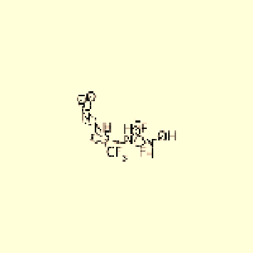 O=C1OCC(CN2CCC(Nc3cccc4c(CC(F)(F)F)c(C#CCNc5cc(F)c(NCCO)cc5OC(F)F)sc34)CC2)O1